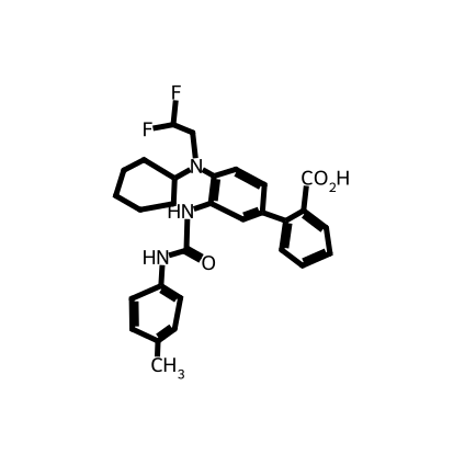 Cc1ccc(NC(=O)Nc2cc(-c3ccccc3C(=O)O)ccc2N(CC(F)F)C2CCCCC2)cc1